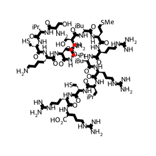 CC[C@H](C)[C@H](NC(=O)[C@H](CCCNC(=N)N)NC(=O)[C@H](CCSC)NC(=O)[C@@H](NC(=O)[C@H](CO)NC(=O)[C@@H](NC(=O)[C@H](CC(N)=O)NC(=O)[C@H](CCCCN)NC(=O)[C@H](CS)NC(=O)[C@@H](NC(=O)[C@@H](N)CO)C(C)C)C(C)C)[C@@H](C)CC)C(=O)N[C@@H](CCCNC(=N)N)C(=O)N[C@@H](CC(C)C)C(=O)N[C@@H](CS)C(=O)N[C@@H](CCCNC(=N)N)C(=O)N[C@@H](CCCNC(=N)N)C(=O)O